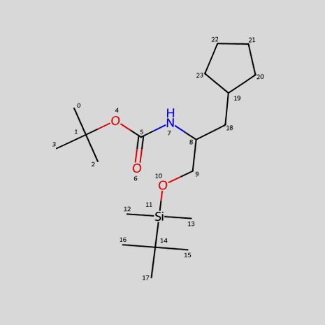 CC(C)(C)OC(=O)NC(CO[Si](C)(C)C(C)(C)C)CC1CCCC1